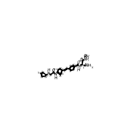 NC[C@H](NC(=O)c1ccc(C#Cc2ccc(NC(=O)CNC3CCCC3)cc2)cc1)C(=O)NO